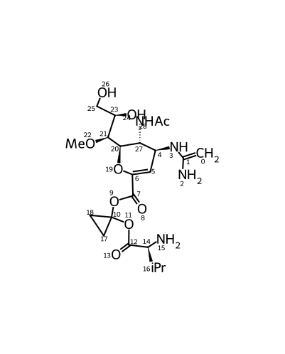 C=C(N)N[C@H]1C=C(C(=O)OC2(OC(=O)[C@@H](N)C(C)C)CC2)O[C@@H]([C@@H](OC)[C@H](O)CO)[C@@H]1NC(C)=O